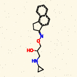 OC(CNC1CC1)CON=C1CCc2c1ccc1ccccc21